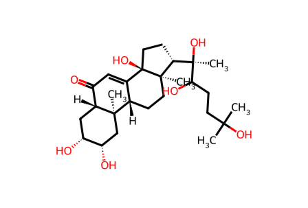 CC(C)(O)CCC(O)[C@](C)(O)[C@H]1CC[C@@]2(O)C3=CC(=O)[C@H]4C[C@@H](O)[C@@H](O)C[C@]4(C)[C@H]3CC[C@]12C